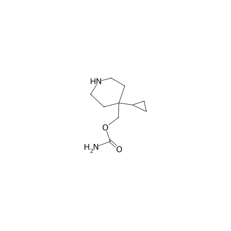 NC(=O)OCC1(C2CC2)CCNCC1